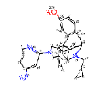 Nc1ccnc(N2C[C@H]3CC45CCC2C3C42CCN(CC3CC3)C5Cc3ccc(O)cc32)c1